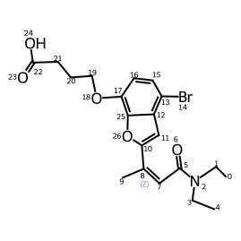 CCN(CC)C(=O)/C=C(/C)c1cc2c(Br)ccc(OCCCC(=O)O)c2o1